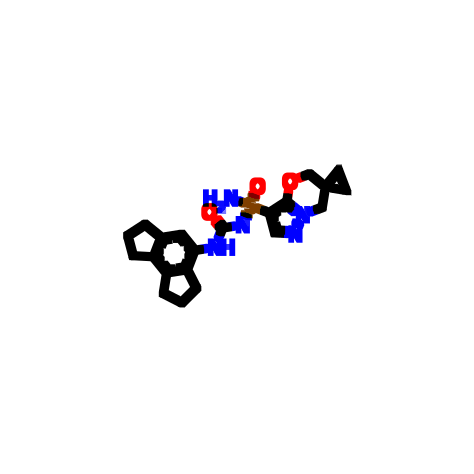 NS(=O)(=NC(=O)Nc1cc2c(c3c1CCC3)CCC2)c1cnn2c1OCC1(CC1)C2